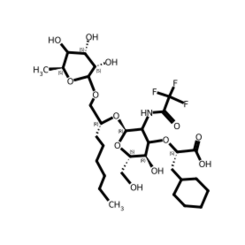 CCCCCC[C@H](COC1O[C@@H](C)C(O)[C@H](O)[C@@H]1O)O[C@@H]1O[C@@H](CO)[C@H](O)C(O[C@@H](CC2CCCCC2)C(=O)O)C1NC(=O)C(F)(F)F